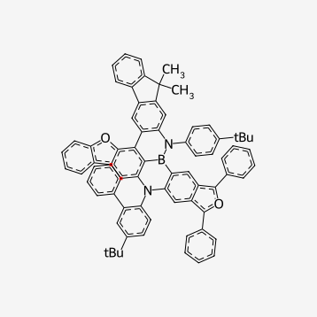 CC(C)(C)c1ccc(N2B3c4cc5c(-c6ccccc6)oc(-c6ccccc6)c5cc4N(c4ccc(C(C)(C)C)cc4-c4ccccc4)c4cc5c(oc6ccccc65)c(c43)-c3cc4c(cc32)C(C)(C)c2ccccc2-4)cc1